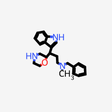 CN(CCC(c1c[nH]c2ccccc12)C1CNCCO1)Cc1ccccc1